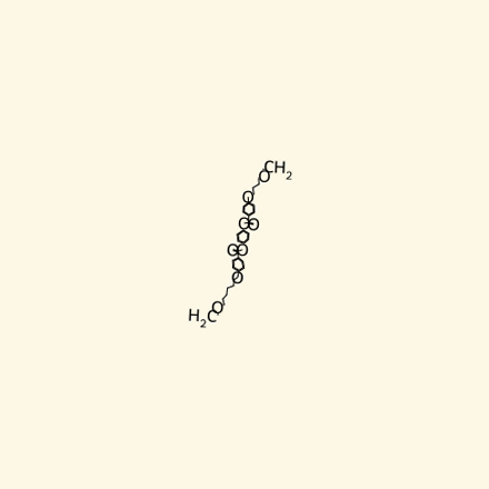 C=COCCCCCCOc1ccc(C(=O)Oc2ccc(OC(=O)c3ccc(OCCCCOC=C)cc3)cc2)cc1